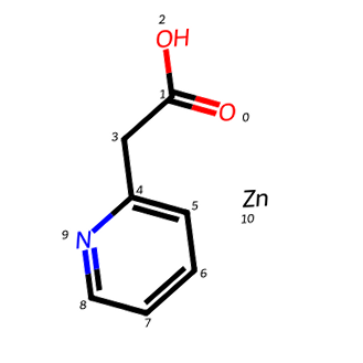 O=C(O)Cc1ccccn1.[Zn]